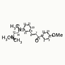 COc1ccc(C(=O)/C=C/c2cccc(N(C)CCN(C)C)c2)cc1